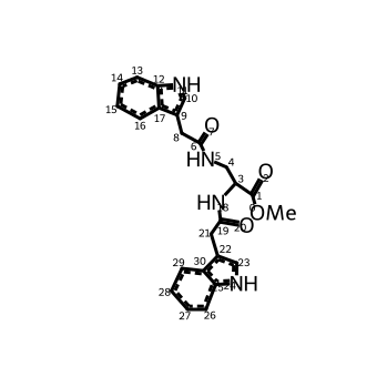 COC(=O)C(CNC(=O)Cc1c[nH]c2ccccc12)NC(=O)Cc1c[nH]c2ccccc12